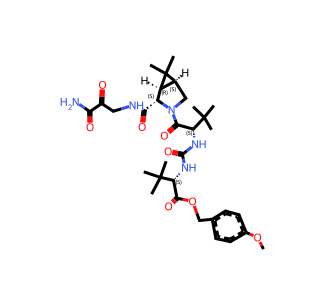 COc1ccc(COC(=O)[C@@H](NC(=O)N[C@H](C(=O)N2C[C@H]3[C@@H]([C@H]2C(=O)NCC(=O)C(N)=O)C3(C)C)C(C)(C)C)C(C)(C)C)cc1